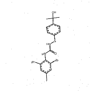 CC(C)c1cc(F)cc(C(C)C)c1NC(=O)NSc1ccc(C(C)(C)O)cc1